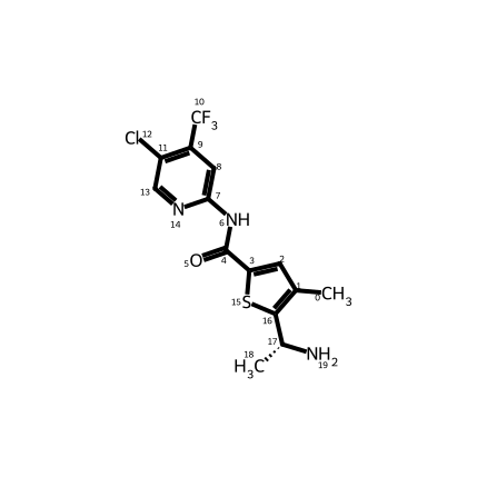 Cc1cc(C(=O)Nc2cc(C(F)(F)F)c(Cl)cn2)sc1[C@@H](C)N